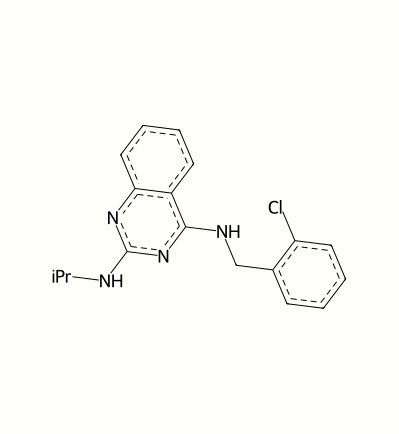 CC(C)Nc1nc(NCc2ccccc2Cl)c2ccccc2n1